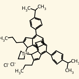 CCCC1=Cc2c(-c3ccc(C(C)C)cc3)cccc2[CH]1[Ti+2]1([CH]2C(CCC)=Cc3c(-c4ccc(C(C)C)cc4)cccc32)[CH2]C[CH2]1.[Cl-].[Cl-]